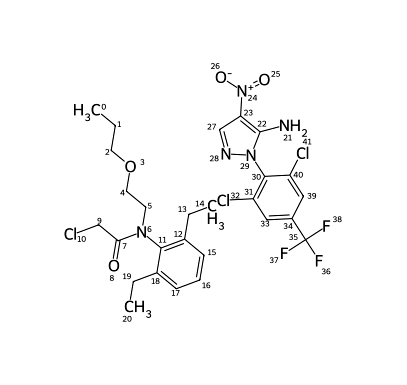 CCCOCCN(C(=O)CCl)c1c(CC)cccc1CC.Nc1c([N+](=O)[O-])cnn1-c1c(Cl)cc(C(F)(F)F)cc1Cl